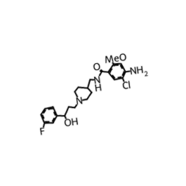 COc1cc(N)c(Cl)cc1C(=O)NCC1CCN(CCC(O)c2cccc(F)c2)CC1